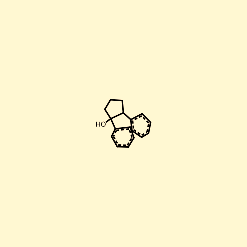 OC1(c2ccccc2)CCCC1c1ccccc1